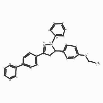 CCOc1ccc(C2CC(c3ccc(-c4ccccc4)cc3)=NN2c2ccccc2)cc1